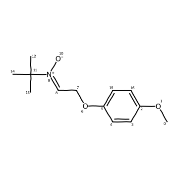 COc1ccc(OCC=[N+]([O-])C(C)(C)C)cc1